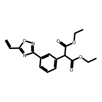 C=Cc1nc(-c2cccc(C(C(=O)OCC)C(=O)OCC)c2)no1